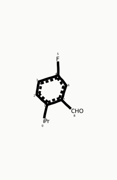 CC(C)c1ccc(F)cc1C=O